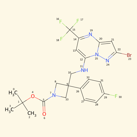 CC(C)(C)OC(=O)N1CC(CNc2cc(C(F)(F)F)nc3cc(Br)nn23)(c2ccc(F)cc2)C1